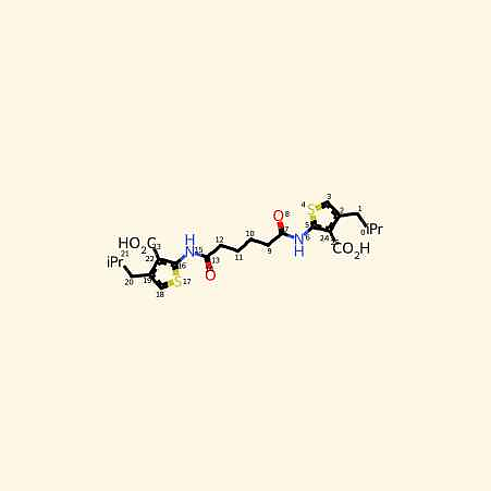 CC(C)Cc1csc(NC(=O)CCCCC(=O)Nc2scc(CC(C)C)c2C(=O)O)c1C(=O)O